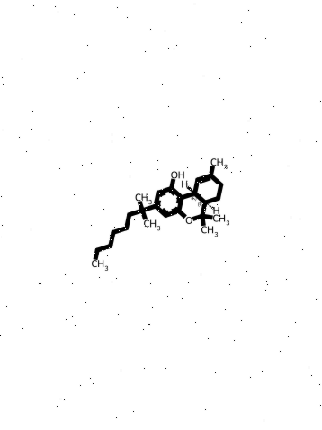 CCCCCCC(C)(C)c1cc(O)c2c(c1)OC(C)(C)[C@@H]1CCC(C)=C[C@@H]21